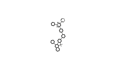 CC1(C)c2cc(-c3cccc(-c4ccc(-c5cc(C6=CCCC=C6)nc(-c6ccccc6)n5)cc4)c3)ccc2-c2c(-c3ccccc3)cc3ccccc3c21